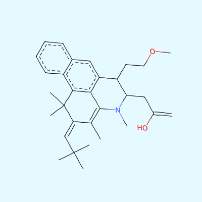 C=C(O)CC1C(CCOC)c2cc3ccccc3c3c2C(=C(C)/C(=C\C(C)(C)C)C3(C)C)N1C